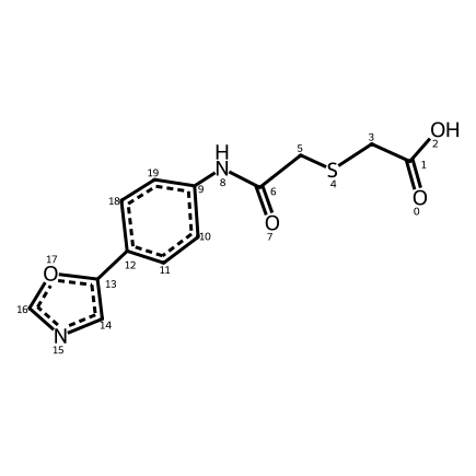 O=C(O)CSCC(=O)Nc1ccc(-c2cnco2)cc1